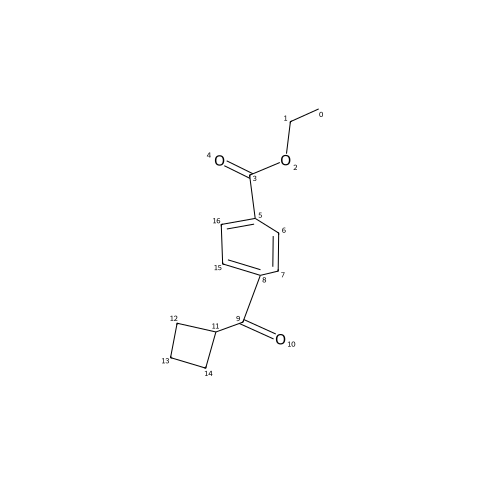 CCOC(=O)c1ccc(C(=O)C2CCC2)cc1